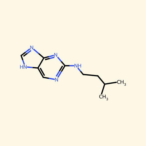 CC(C)CCNc1ncc2[nH]cnc2n1